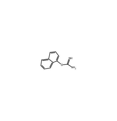 N=C(N)Oc1cccc2ccccc12